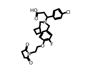 O=C(O)CC(c1ccc(Cl)cc1)N(Cc1ccc(OCCN2C(=O)CCC2=O)c(F)c1)CC1CCC1